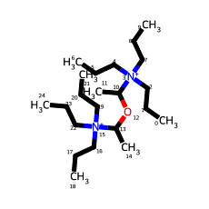 CCC[N+](CCC)(CCC)C(C)OC(C)[N+](CCC)(CCC)CCC